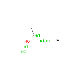 CCO.Cl.Cl.Cl.Cl.Cl.[Ta]